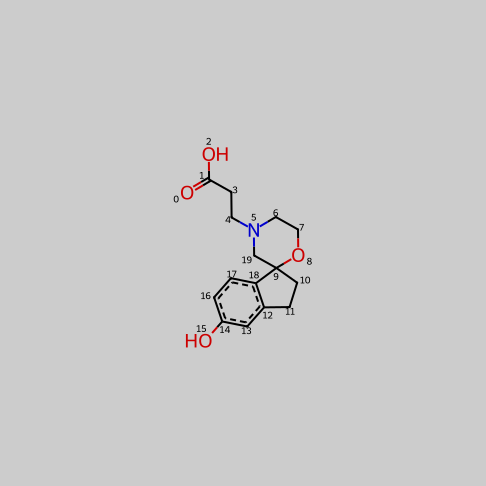 O=C(O)CCN1CCOC2(CCc3cc(O)ccc32)C1